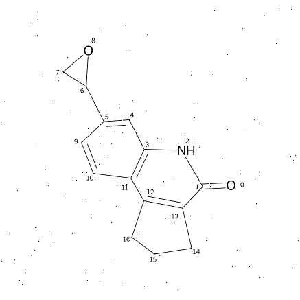 O=c1[nH]c2cc(C3CO3)ccc2c2c1CCC2